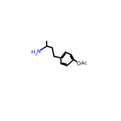 CC(=O)Oc1ccc(CCC(C)N)cc1